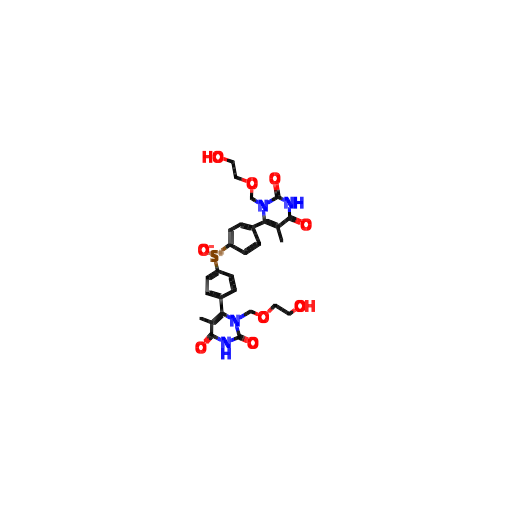 Cc1c(-c2ccc([S+]([O-])c3ccc(-c4c(C)c(=O)[nH]c(=O)n4COCCO)cc3)cc2)n(COCCO)c(=O)[nH]c1=O